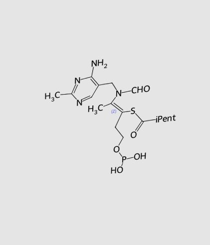 CCCC(C)C(=O)S/C(CCOP(O)O)=C(/C)N(C=O)Cc1cnc(C)nc1N